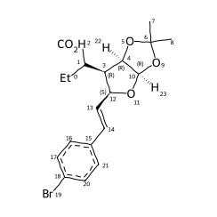 CCC(C(=O)O)[C@H]1[C@H]2OC(C)(C)O[C@H]2O[C@H]1C=Cc1ccc(Br)cc1